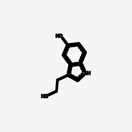 OCCc1c[nH]c2ccc(O)cc12